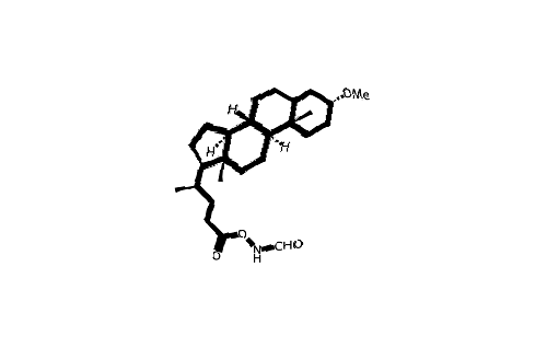 CO[C@@H]1CC[C@@]2(C)C(CC[C@H]3[C@@H]4CC[C@H]([C@H](C)CCC(=O)ONC=O)[C@@]4(C)CC[C@@H]32)C1